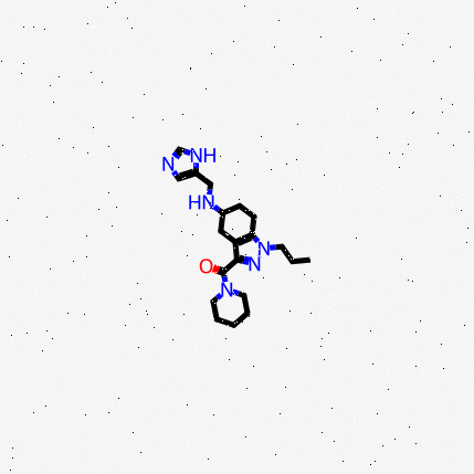 CCCn1nc(C(=O)N2CCCCC2)c2c1CCC(NCc1cnc[nH]1)C2